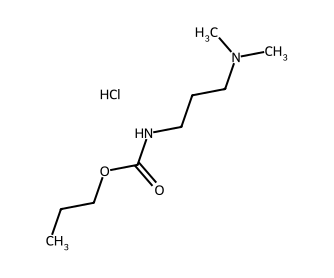 CCCOC(=O)NCCCN(C)C.Cl